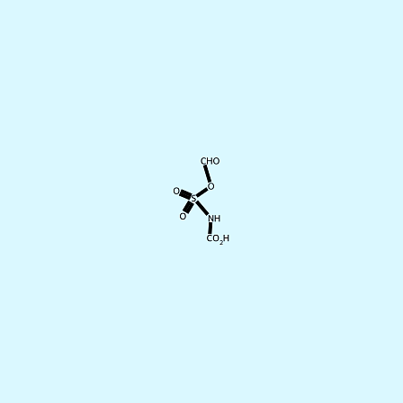 O=COS(=O)(=O)NC(=O)O